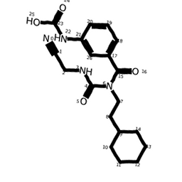 N#CCNC(=O)N(CCC1CCCCC1)C(=O)c1cccc(NC(=O)O)c1